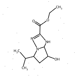 CCOC(=O)C1=NN2C(C(C)C)CC(O)C2N1